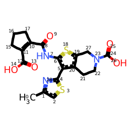 Cc1csc(-c2c(NC(=O)C3=C(C(=O)O)CCC3)sc3c2CCN(C(=O)O)C3)n1